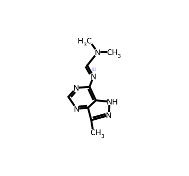 Cc1n[nH]c2c(/N=C/N(C)C)ncnc12